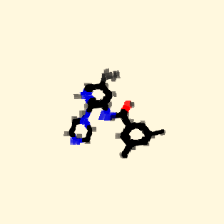 Cc1cc(C)cc(C(=O)Nc2cc(C(=O)O)cnc2N2CCNCC2)c1